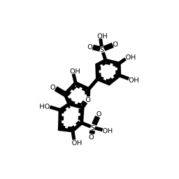 O=c1c(O)c(-c2cc(O)c(O)c(S(=O)(=O)O)c2)oc2c(S(=O)(=O)O)c(O)cc(O)c12